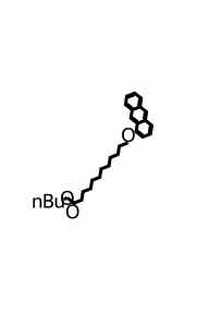 CCCCOC(=O)CCCCCCCCCCCOc1cccc2cc3ccccc3cc12